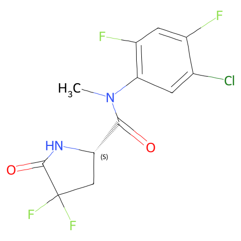 CN(C(=O)[C@@H]1CC(F)(F)C(=O)N1)c1cc(Cl)c(F)cc1F